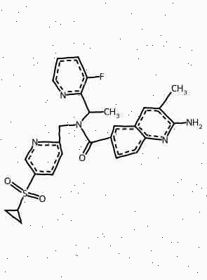 Cc1cc2cc(C(=O)N(Cc3ccc(S(=O)(=O)C4CC4)cn3)C(C)c3ncccc3F)ccc2nc1N